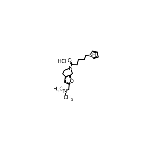 CN(C)Cc1cc2c(o1)CN(C(=O)CCCC[SH]1C=CC=C1)CC2.Cl